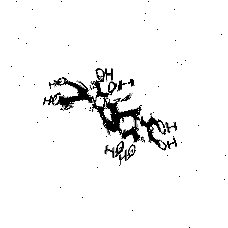 OCC(CO)N(Cc1ccc(CN(C(CO)CO)C(CO)CO)nc1)C(CO)CO